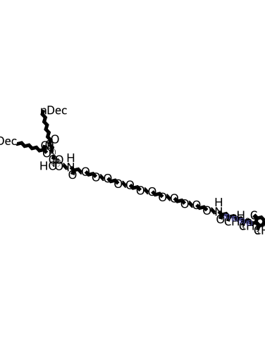 C=C1CCCC(C)=C1/C=C/C(C)=C/C=C/C(C)=C/C(=O)NCCOCCOCCOCCOCCOCCOCCOCCOCCOCCOCCOCCOCCC(=O)NCCOP(=O)(O)OC[C@@H](COC(=O)CCCCCCCCCCCCCCCCC)OC(=O)CCCCCCCCCCCCCCCCC